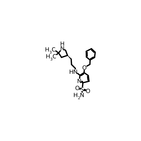 CC1(C)C[C@H](CCCNc2nc(S(N)(=O)=O)ccc2OCc2ccccc2)CN1